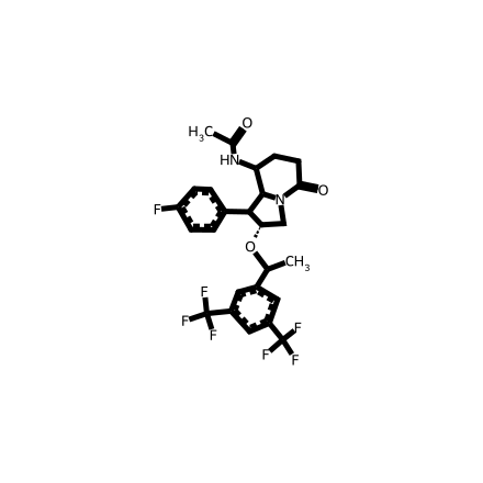 CC(=O)NC1CCC(=O)N2C[C@H](OC(C)c3cc(C(F)(F)F)cc(C(F)(F)F)c3)C(c3ccc(F)cc3)C12